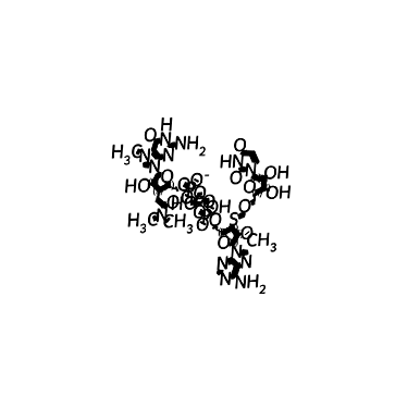 CO[C@@H]1[C@H](SCOC[C@H]2O[C@@H](n3ccc(=O)[nH]c3=O)[C@H](O)[C@@H]2O)[C@@H](COP(=O)(O)OP(=O)(O)OP(=O)([O-])OC[C@H]2OC(n3c[n+](C)c4c(=O)[nH]c(N)nc43)[C@H](O)[C@@H]2CC(=O)N(C)C)O[C@H]1n1cnc2c(N)ncnc21